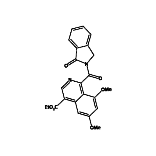 CCOC(=O)c1cnc(C(=O)N2Cc3ccccc3C2=O)c2c(OC)cc(OC)cc12